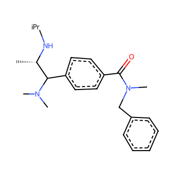 CC(C)N[C@@H](C)C(c1ccc(C(=O)N(C)Cc2ccccc2)cc1)N(C)C